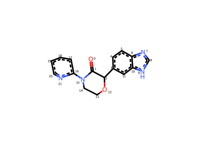 O=C1C(c2ccc3nc[nH]c3c2)OCCN1c1ccccn1